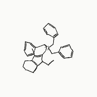 CCC1C2=C(CCCC2)C(C)=[C]1[Ti]([CH2]c1ccccc1)([CH2]c1ccccc1)[CH2]c1ccccc1